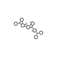 c1ccc(N(c2ccccc2)c2ccc(-n3c4cccnc4c4c5oc6c(ccc7c6c6ccccc6n7-c6ccccc6)c5ccc43)nc2)cc1